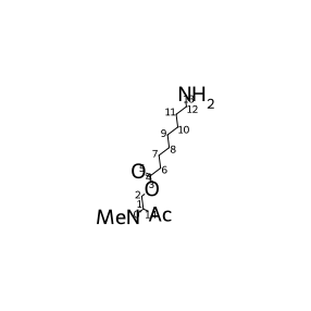 CN[C@@H](COC(=O)CCCCCCCN)C(C)=O